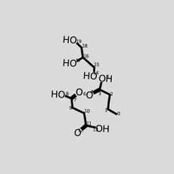 CCCC(=O)O.O=C(O)CCC(=O)O.OCC(O)CO